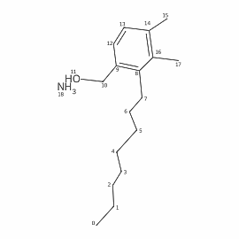 CCCCCCCCc1c(CO)ccc(C)c1C.N